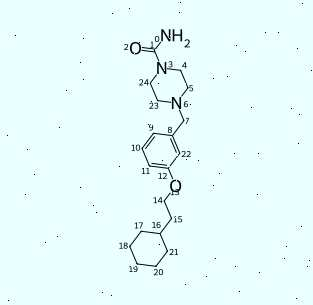 NC(=O)N1CCN(Cc2cccc(OCCC3CCCCC3)c2)CC1